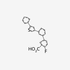 O=C(O)c1cc(-c2cccc(-c3csc(-c4ccccc4)c3)c2)ccc1F